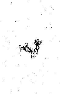 CC(C)(C)OC(=O)N1CCc2cnc(Nc3cc4n(n3)CC(=O)N(CC(F)F)CC4)cc2C1